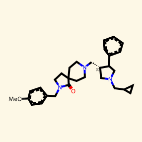 COc1ccc(CN2CCC3(CCN(C[C@H]4CN(CC5CC5)CC4c4ccccc4)CC3)C2=O)cc1